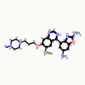 COc1cc2c(-c3cc(N)cc4oc(N)nc34)ncnc2cc1OCCCN1CCN(C)CC1